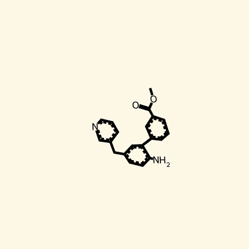 COC(=O)c1cccc(-c2cc(Cc3cccnc3)ccc2N)c1